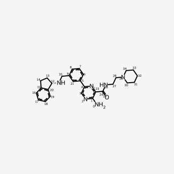 Nc1ncc(-c2cccc(CN[C@H]3CCc4ccccc43)c2)nc1C(=O)NCCN1CCCCC1